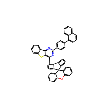 c1ccc2c(c1)Oc1ccccc1C21c2ccccc2-c2c(-c3nc(-c4ccc(-c5cccc6ccccc56)cc4)nc4c3sc3ccccc34)cccc21